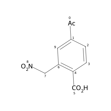 CC(=O)c1ccc(C(=O)O)c(C[N+](=O)[O-])c1